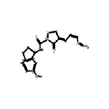 C=N/C=C\C=C1/CSN(C(=O)NC2CCc3ccc(OC)cc32)C1=O